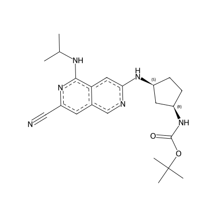 CC(C)Nc1nc(C#N)cc2cnc(N[C@H]3CC[C@@H](NC(=O)OC(C)(C)C)C3)cc12